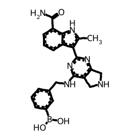 Cc1[nH]c2c(C(N)=O)cccc2c1-c1nc2c(c(NCc3cccc(B(O)O)c3)n1)CNC2